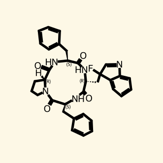 O=C1N[C@H](CC2(F)C=Nc3ccccc32)C(=O)N[C@@H](Cc2ccccc2)C(=O)N2CCC[C@@H]2C(=O)N[C@H]1Cc1ccccc1